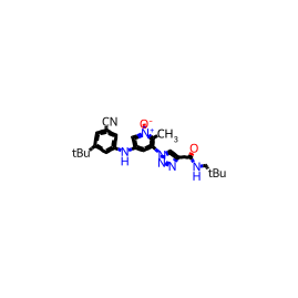 Cc1c(-n2cc(C(=O)NCC(C)(C)C)nn2)cc(Nc2cc(C#N)cc(C(C)(C)C)c2)c[n+]1[O-]